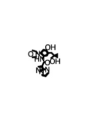 O=C(Nc1cc(CC2(CO)CC2)c(O)cc1N1CCOCC1)c1cnn2cccnc12